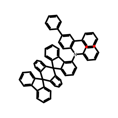 c1ccc(-c2ccc(N(c3ccccc3)c3cccc4c3-c3ccccc3C43c4ccccc4C4(c5ccccc5-c5ccccc54)c4ccccc43)c(-c3ccccc3)c2)cc1